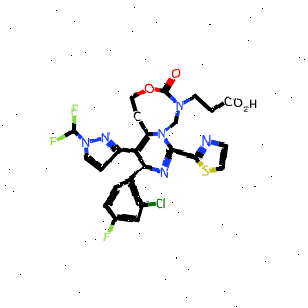 O=C(O)CCN1CN2C(c3nccs3)=N[C@@H](c3ccc(F)cc3Cl)C(c3ccn(C(F)F)n3)=C2CCOC1=O